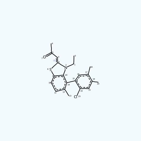 CCN1/C(=C/C(C)=O)Sc2ccc(C)c(-c3cc(C)c(C)cc3Cl)c21